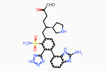 Nc1nc2cccc(-c3ccc(CC(CCC(=O)C=O)[C@H]4CCNC4)c(S(N)(=O)=O)c3-c3nn[nH]n3)c2[nH]1